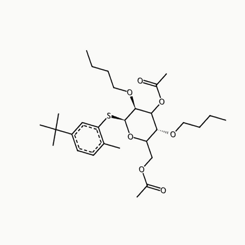 CCCCO[C@@H]1C(COC(C)=O)O[C@@H](Sc2cc(C(C)(C)C)ccc2C)[C@@H](OCCCC)C1OC(C)=O